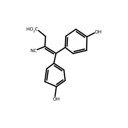 N#CC(CC(=O)O)=C(c1ccc(O)cc1)c1ccc(O)cc1